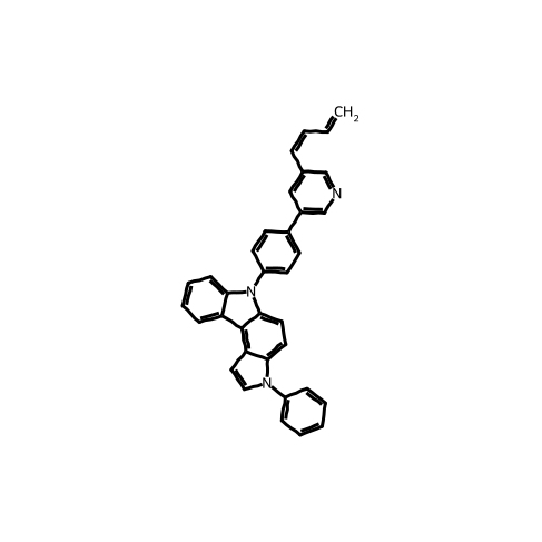 C=C/C=C\c1cncc(-c2ccc(-n3c4ccccc4c4c5ccn(-c6ccccc6)c5ccc43)cc2)c1